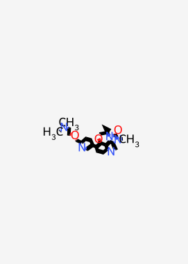 CN(C)CCOCc1ccc(-c2ccc3ncc4c5c3c2OCC2(CC2)n5c(=O)n4C)cn1